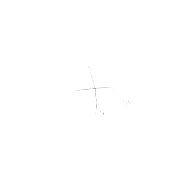 CC(=O)C(C)(C#N)CC(C)(C)C